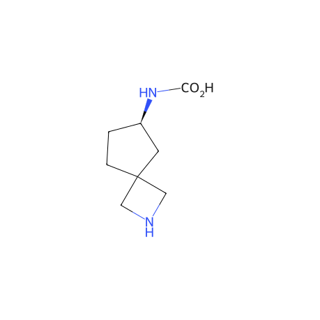 O=C(O)N[C@@H]1CCC2(CNC2)C1